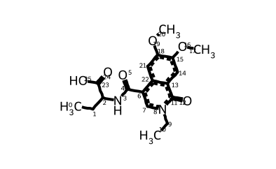 CCC(NC(=O)c1cn(CC)c(=O)c2cc(OC)c(OC)cc12)C(=O)O